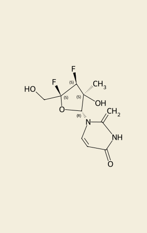 C=C1NC(=O)C=CN1[C@@H]1O[C@](F)(CO)[C@@H](F)[C@@]1(C)O